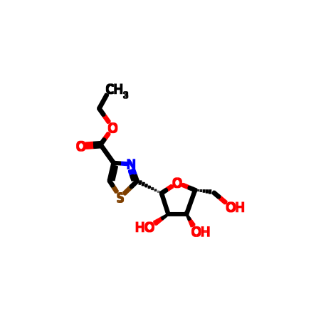 CCOC(=O)c1csc([C@@H]2O[C@H](CO)[C@@H](O)[C@H]2O)n1